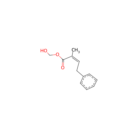 CC(=CCc1ccccc1)C(=O)OCO